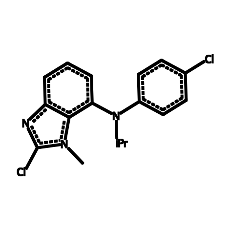 CC(C)N(c1ccc(Cl)cc1)c1cccc2nc(Cl)n(C)c12